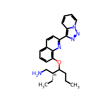 CCCC(Oc1cccc2ccc(-c3nnn4ccccc34)nc12)[C@H](CC)CN